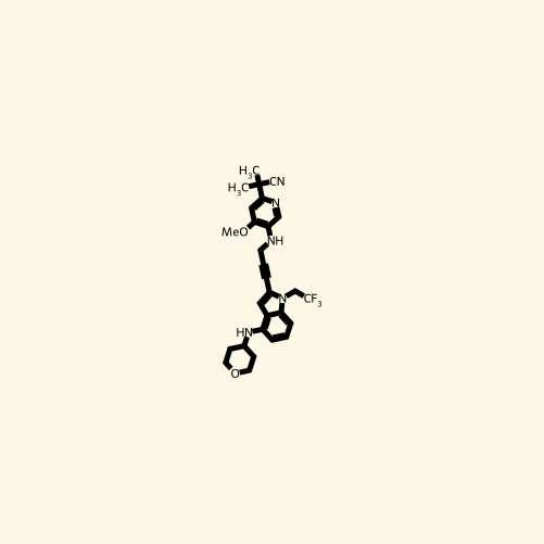 COc1cc(C(C)(C)C#N)ncc1NCC#Cc1cc2c(NC3CCOCC3)cccc2n1CC(F)(F)F